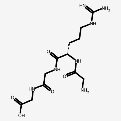 N=C(N)NCCC[C@H](NC(=O)CN)C(=O)NCC(=O)NCC(=O)O